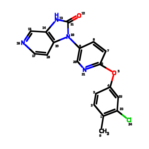 Cc1ccc(Oc2ccc(-n3c(=O)[nH]c4cnccc43)cn2)cc1Cl